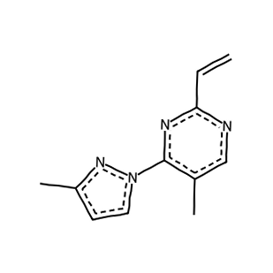 C=Cc1ncc(C)c(-n2ccc(C)n2)n1